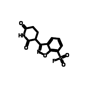 O=C1CCC(c2noc3c(S(=O)(=O)F)cccc23)C(=O)N1